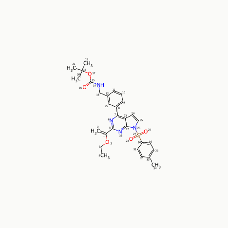 C=C(OCC)c1nc(-c2cccc(CNC(=O)OC(C)(C)C)c2)c2ccn(S(=O)(=O)c3ccc(C)cc3)c2n1